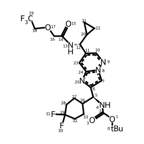 CC(C)(C)OC(=O)N[C@H](c1cn2ncc([C@H](NC(=O)COCC(F)(F)F)C3CC3)cc2n1)C1CCC(F)(F)CC1